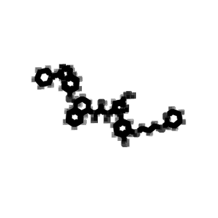 CC(C)(C)c1cc(NC(=O)NC2CC[C@@H](Oc3ccc4nnc(N5CCCCC5)n4c3)c3ccccc32)n(-c2ccc(Cl)c(OCCCOC3CCCCO3)c2)n1